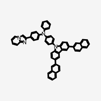 c1ccc(N(c2ccc(-c3cn4ccccc4n3)cc2)c2ccc(-n3c4ccc(-c5ccc6ccccc6c5)cc4c4cc(-c5ccc6ccccc6c5)ccc43)cc2)cc1